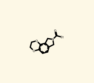 CCC(=O)N1Cc2ccc3c(c2C1)OCCO3